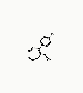 OCC1=C(c2ccc(Br)cc2)N=CCCC1